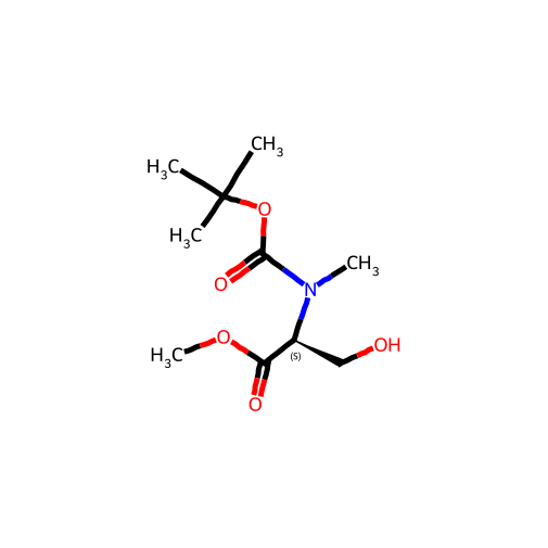 COC(=O)[C@H](CO)N(C)C(=O)OC(C)(C)C